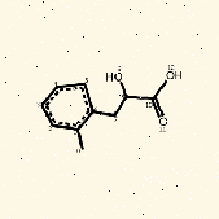 Cc1ccccc1CC(O)C(=O)O